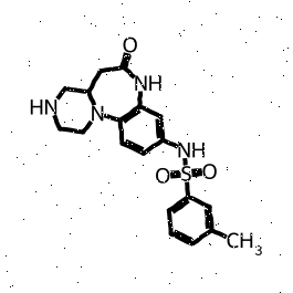 Cc1cccc(S(=O)(=O)Nc2ccc3c(c2)NC(=O)CC2CNCCN32)c1